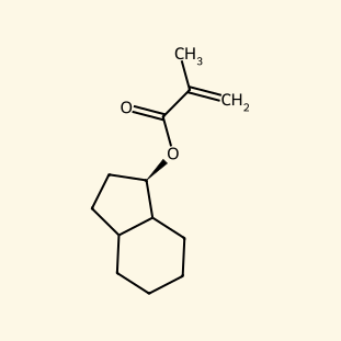 C=C(C)C(=O)O[C@@H]1CCC2CCCCC21